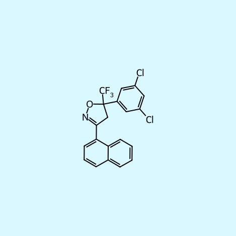 FC(F)(F)C1(c2cc(Cl)cc(Cl)c2)CC(c2cccc3ccccc23)=NO1